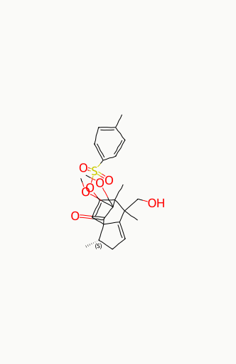 COC1(OC)C(=O)C23C=C(OS(=O)(=O)c4ccc(C)cc4)C1(C)C(C)(CO)C2=CC[C@@H]3C